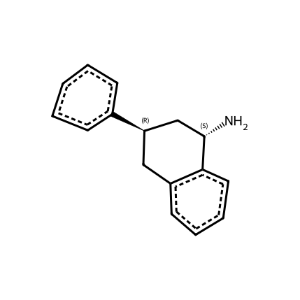 N[C@H]1C[C@H](c2ccccc2)Cc2ccccc21